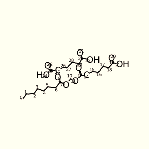 CCCCCCCC(=O)OCOC(=O)CCCCCC(=O)O.O=C(O)CCCCCC(=O)O